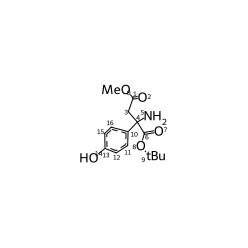 COC(=O)CC(N)(C(=O)OC(C)(C)C)c1ccc(O)cc1